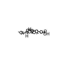 CC1CCN(CCN[C@]23CCC[C@@H]2[C@H]2CCC4[C@@]5(C)CC=C(C6=CC[C@H](C(=O)O)CC6)C(C)(C)C5CCP4(C)(C)C2CC3)CC1